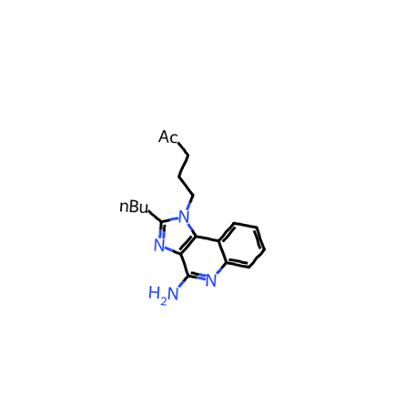 CCCCc1nc2c(N)nc3ccccc3c2n1CCCC(C)=O